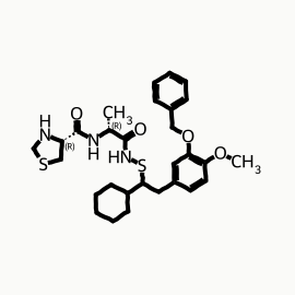 COc1ccc(CC(SNC(=O)[C@@H](C)NC(=O)[C@@H]2CSCN2)C2CCCCC2)cc1OCc1ccccc1